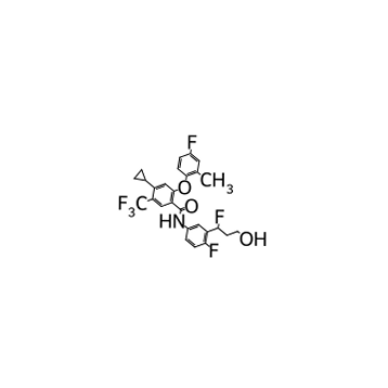 Cc1cc(F)ccc1Oc1cc(C2CC2)c(C(F)(F)F)cc1C(=O)Nc1ccc(F)c(C(F)CCO)c1